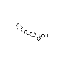 O=C(O)Cc1ccc(COCC2CCOCC2)cc1